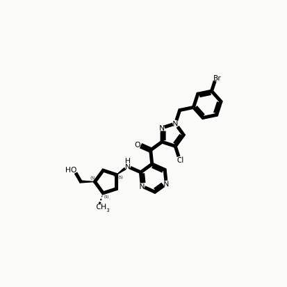 C[C@H]1C[C@H](Nc2ncncc2C(=O)c2nn(Cc3cccc(Br)c3)cc2Cl)C[C@@H]1CO